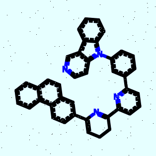 C1=C(c2ccc3c(ccc4ccccc43)c2)N=C(c2cccc(-c3cccc(-n4c5ccccc5c5cnccc54)c3)n2)CC1